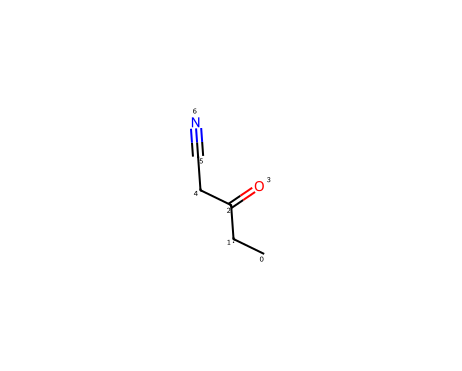 C[CH]C(=O)CC#N